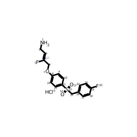 Cl.NC/C=C(\F)COc1ccc(S(=O)(=O)Cc2ccc(F)cc2)cc1